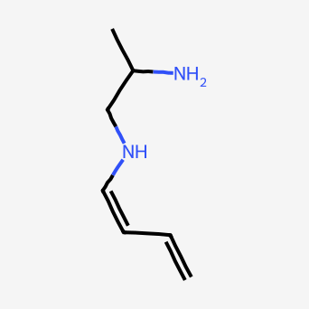 C=C/C=C\NCC(C)N